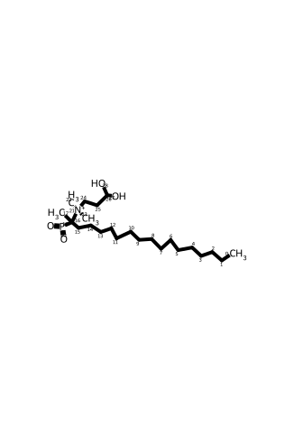 CCCCCCCCCCCCCCCCC(C)(P(=O)=O)[N+](C)(C)CCC(O)O